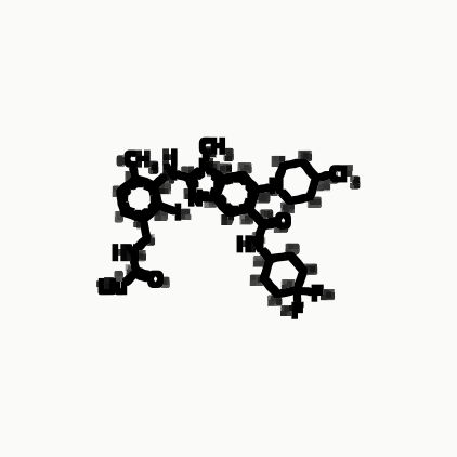 Cc1ccc(CNC(=O)C(C)(C)C)c(I)c1Nc1nc2cc(C(=O)NC3CCC(F)(F)CC3)c(N3CCC(C(F)(F)F)CC3)cc2n1C